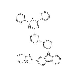 C1=CC2N=C(c3ccc4c5ccccc5n(-c5cccc(-c6cccc(-c7nc(-c8ccccc8)nc(-c8ccccc8)n7)c6)c5)c4c3)C=[N+]2C=C1